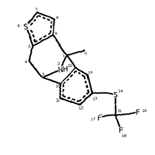 CC12NC(Cc3sccc31)c1ccc(SC(F)(F)F)cc12